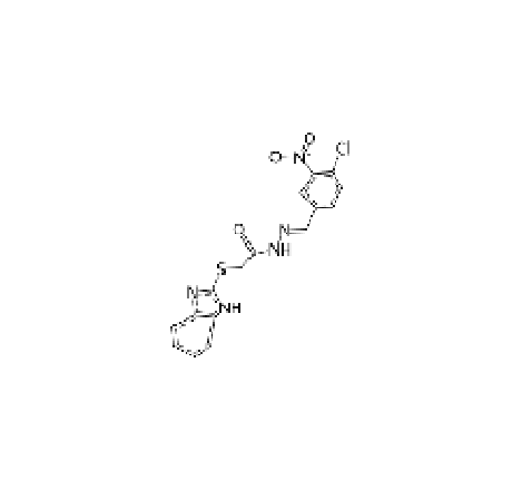 O=C(CSc1nc2ccccc2[nH]1)N/N=C/c1ccc(Cl)c([N+](=O)[O-])c1